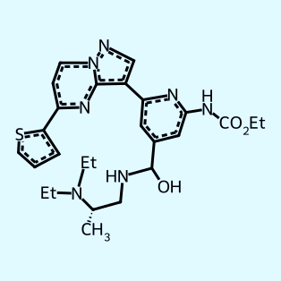 CCOC(=O)Nc1cc(C(O)NC[C@H](C)N(CC)CC)cc(-c2cnn3ccc(-c4cccs4)nc23)n1